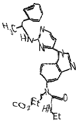 CCNC(=O)N(CC(=O)OCC)c1ccc2c(c1)ncn2-c1ccnc(NC(C)c2ccccc2)n1